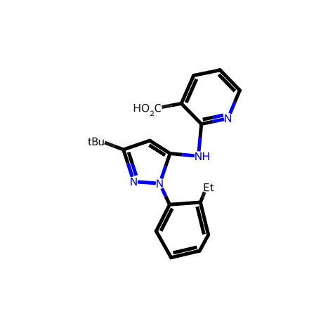 CCc1ccccc1-n1nc(C(C)(C)C)cc1Nc1ncccc1C(=O)O